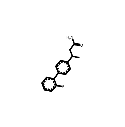 CC(CC(N)=O)c1ccc(-c2ccccc2F)cc1